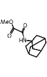 COC(=O)C(=O)NC12CC3CC(CC(C3)C1)C2